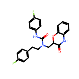 O=C1Nc2ccccc2OC1CN(CCc1ccc(F)cc1)C(=O)Nc1ccc(F)cc1